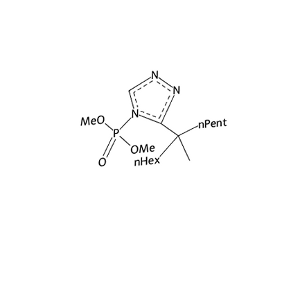 CCCCCCC(C)(CCCCC)c1nncn1P(=O)(OC)OC